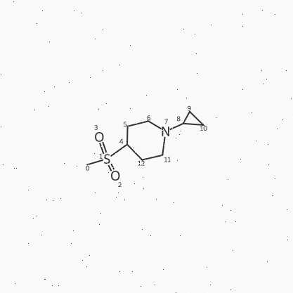 CS(=O)(=O)C1CCN(C2CC2)CC1